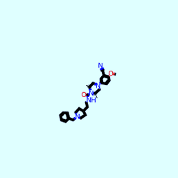 COc1ccc(N2C[C@@H](C)N(C(=O)NCCC3CCN(Cc4ccccc4)CC3)[C@@H](C)C2)cc1C#N